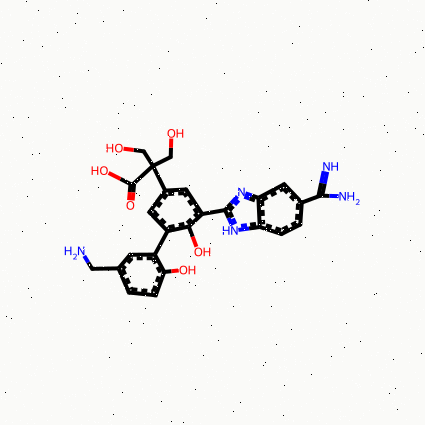 N=C(N)c1ccc2[nH]c(-c3cc(C(CO)(CO)C(=O)O)cc(-c4cc(CN)ccc4O)c3O)nc2c1